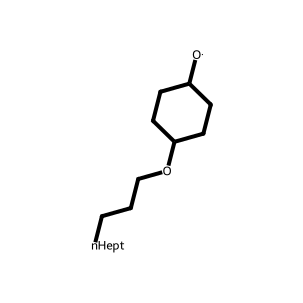 [CH2]CCCCCCCCCOC1CCC([O])CC1